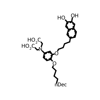 CCCCCCCCCCCCCCOc1ccc(N(CC(=O)O)CC(=O)O)cc1OCCCCc1ccc2cc(O)c(O)cc2c1